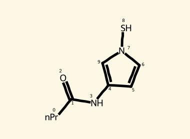 CCCC(=O)Nc1ccn(S)c1